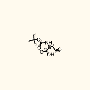 CC(C)(C)OC(=O)N[C@@H](CC=O)C(=O)O